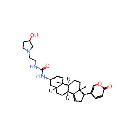 C[C@]12CC[C@H](NC(=O)NCCN3CCC(O)C3)C[C@H]1CC[C@H]1C3=CC[C@H](c4ccc(=O)oc4)[C@@]3(C)CC[C@@H]12